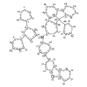 c1ccc(-c2cc(-c3ccccc3)cc(N(c3ccc(-c4ccc5oc6ccccc6c5c4)cc3)c3ccc(C4(c5ccccc5)c5ccccc5-c5ccccc54)cc3)c2)cc1